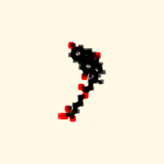 C[C@H](CCC(=O)OCCCCS(=O)(=O)O)[C@H]1CC[C@H]2[C@@H]3C(=O)CC4CC(=O)CC[C@]4(C)[C@H]3CC(=O)[C@]12C